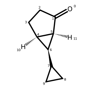 O=C1CC[C@H]2[C@@H]1[C@H]2C1CC1